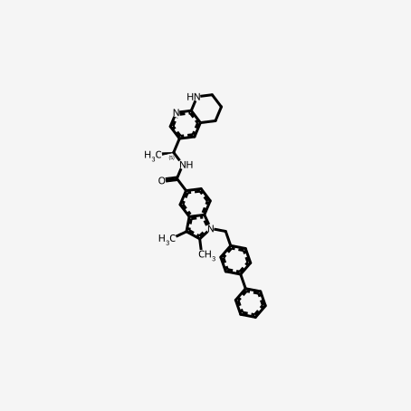 Cc1c(C)n(Cc2ccc(-c3ccccc3)cc2)c2ccc(C(=O)N[C@@H](C)c3cnc4c(c3)CCCN4)cc12